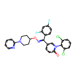 O=c1ccc(C(=NOC2CCN(c3ccccn3)CC2)c2ccc(F)cc2F)cn1-c1c(Cl)cccc1Cl